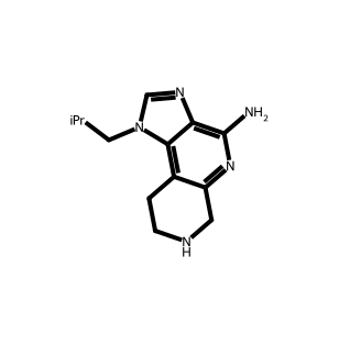 CC(C)Cn1cnc2c(N)nc3c(c21)CCNC3